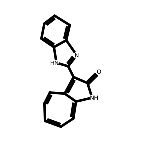 O=c1[nH]c2cccccc-2c1-c1nc2ccccc2[nH]1